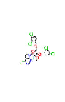 CO[C@@]1(F)[C@H](OCc2ccc(Cl)cc2Cl)[C@@H](COCc2ccc(Cl)cc2Cl)O[C@H]1n1ccc2c(Cl)ncnc21